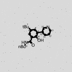 CCCCNC(=O)c1cc(C(C)(C)C)cc(-c2cccnc2)c1O